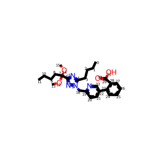 CCCCc1nc(C(CCCC)(OC)OC)nn1Cc1ccc(-c2ccccc2C(=O)O)cn1